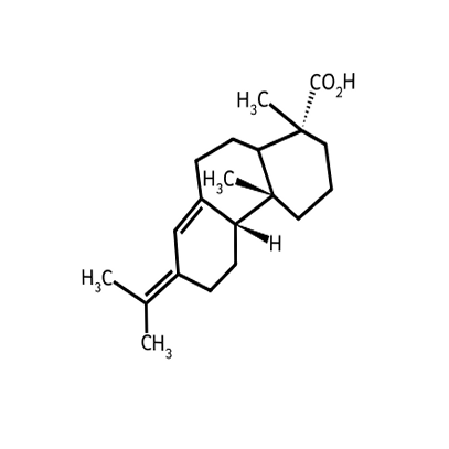 CC(C)=C1C=C2CCC3[C@](C)(C(=O)O)CCC[C@]3(C)[C@@H]2CC1